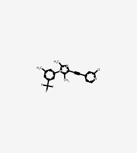 Cc1cc(-n2c(C)nc(C#Cc3ccnc(Cl)c3)c2C)cc(C(F)(F)F)c1